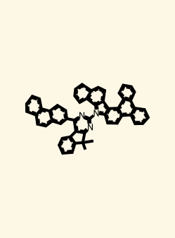 CC1(C)c2ccccc2-c2c(-c3ccc4c(ccc5ccccc54)c3)nc(-n3c4ccc5c6ccccc6c6ccccc6c5c4c4ccc5ccccc5c43)nc21